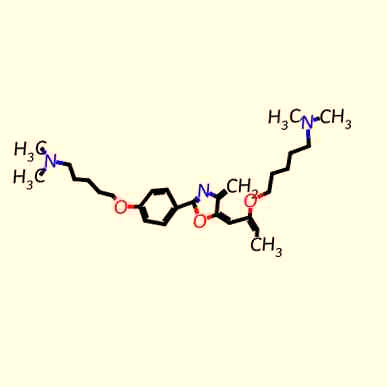 C=c1nc(-c2ccc(OCCCCCN(C)C)cc2)o/c1=C/C(=C\C)OCCCCCN(C)C